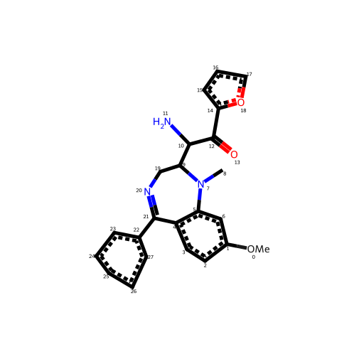 COc1ccc2c(c1)N(C)C(C(N)C(=O)c1ccco1)CN=C2c1ccccc1